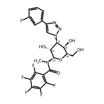 CN(C(=O)c1c(F)c(F)c(F)c(F)c1F)[C@@H]1O[C@H](CO)[C@H](O)[C@H](n2cc(-c3cccc(F)c3)nn2)[C@H]1O